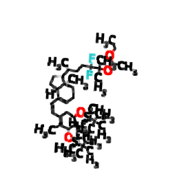 CCOC(C)OC(C)(C)C(F)(F)CC[C@@H](C)[C@H]1CC[C@H]2C(/C=C\C3=C(C)[C@@H](O[Si](C)(C)C(C)(C)C)C[C@H](O[Si](C)(C)C(C)(C)C)C3)=CCC[C@]12C